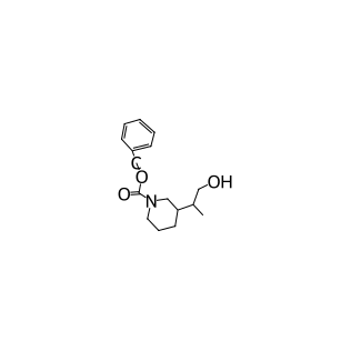 CC(CO)C1CCCN(C(=O)OCc2ccccc2)C1